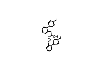 OC(Cc1ccccc1-c1ccc(I)cc1)OCCc1ccccc1-c1ccc(I)cc1